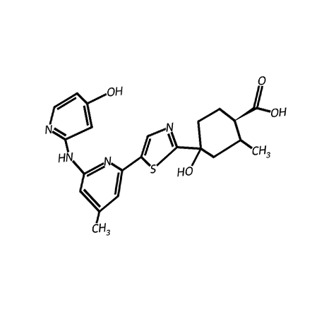 Cc1cc(Nc2cc(O)ccn2)nc(-c2cnc(C3(O)CC[C@@H](C(=O)O)C(C)C3)s2)c1